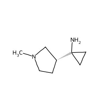 CN1CC[C@@H](C2(N)CC2)C1